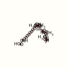 COc1cc2c(cc1OCCCOc1cc3c(cc1OC)C(=O)N1C=C(C4CC4)C[C@H]1C=N3)N=C[C@@H]1CC(c3ccc(CCCC(=O)[C@H](C)NC(=O)C(NC(=O)CCOCCOCCOCCOCCOCCOCCOCCOCCNC(=O)CCCCC4C(=O)C=CC4O)C(C)C)cc3)=CN1C2=O